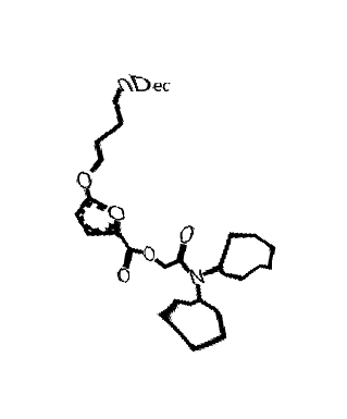 CCCCCCCCCCCCCCOc1ccc(C(=O)OCC(=O)N(C2CCCCC2)C2CCCCC2)o1